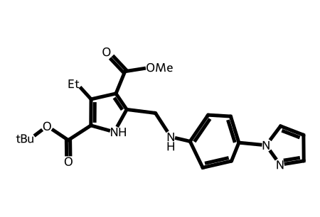 CCc1c(C(=O)OC(C)(C)C)[nH]c(CNc2ccc(-n3cccn3)cc2)c1C(=O)OC